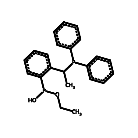 CCOP(O)c1ccccc1C(C)P(c1ccccc1)c1ccccc1